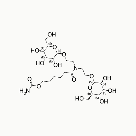 NC(=O)OCCCCCC(=O)N(CCO[C@H]1O[C@H](CO)[C@@H](O)[C@H](O)[C@@H]1O)CCO[C@@H]1O[C@@H](CO)[C@H](O)[C@@H](O)[C@H]1O